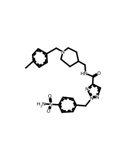 Cc1ccc(CN2CCC(CNC(=O)c3cnn(Cc4ccc(S(N)(=O)=O)cc4)n3)CC2)cc1